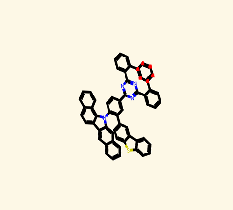 c1ccc(-c2ccccc2-c2nc(-c3ccc(-n4c5cc6ccccc6cc5c5ccc6ccccc6c54)c(-c4ccc5sc6ccccc6c5c4)c3)nc(-c3ccccc3-c3ccccc3)n2)cc1